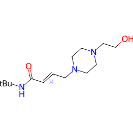 CC(C)(C)NC(=O)/C=C/CN1CCN(CCO)CC1